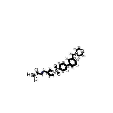 O=C(/C=C/c1ccn(S(=O)(=O)c2ccc(-c3cccc(CN4CCOCC4)c3)cc2)c1)NO